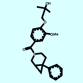 COc1cc(C(=O)N2CCC3(c4ccccc4)CC3C2)ccc1OCC(C)(C)O